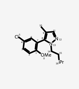 COc1ccc(Cl)cc1-c1c(C)cnn1CCC(C)C